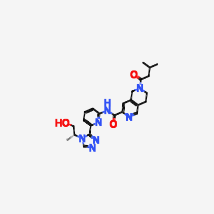 CC(C)CC(=O)N1CCc2cnc(C(=O)Nc3cccc(-c4nncn4[C@H](C)CO)n3)cc2C1